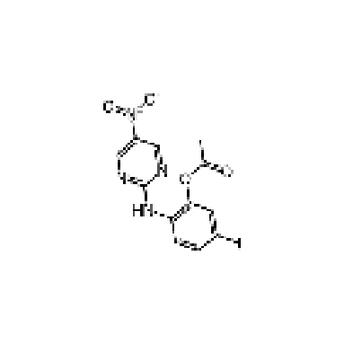 CC(=O)Oc1cc(I)ccc1Nc1ncc([N+](=O)[O-])cn1